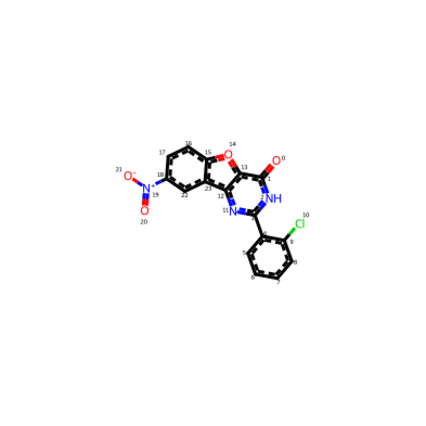 O=c1[nH]c(-c2ccccc2Cl)nc2c1oc1ccc([N+](=O)[O-])cc12